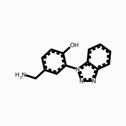 NCc1ccc(O)c(-n2nnc3ccccc32)c1